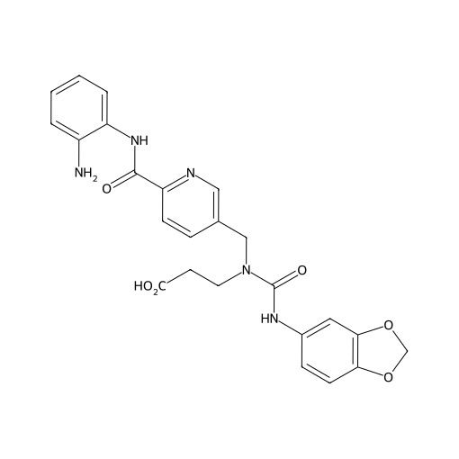 Nc1ccccc1NC(=O)c1ccc(CN(CCC(=O)O)C(=O)Nc2ccc3c(c2)OCO3)cn1